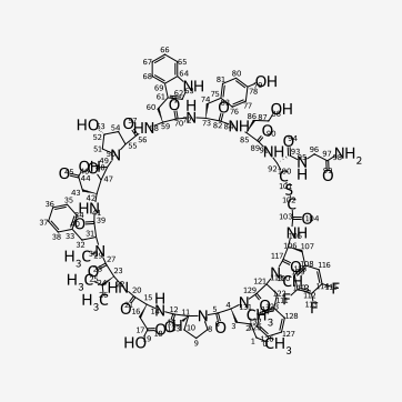 CCCC[C@H]1C(=O)N2CCC[C@@H]2C(=O)N[C@@H](CC(=O)O)C(=O)N[C@@H](C(C)C)C(=O)N(C)C(Cc2ccccc2)C(=O)N[C@@H](CC(=O)O)C2OC2N2C[C@H](O)CC2C(=O)N[C@@H](Cc2c[nH]c3ccccc23)C(=O)N[C@@H](Cc2ccc(O)cc2)C(=O)N[C@@H](CCO)C(=O)N[C@H](C(=O)NCC(N)=O)CSCC(=O)N[C@@H](Cc2cc(F)c(F)c(F)c2)C(=O)N(C)C(Cc2ccccc2)C(=O)N1C